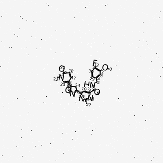 COc1cc(CNC(=O)c2cc(C3=NO[C@@H](c4ccc(=O)n(C)c4)C3)nc(C)n2)ccc1F